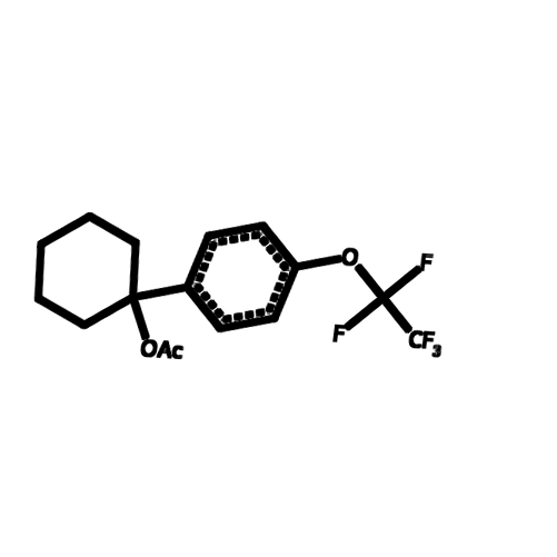 CC(=O)OC1(c2ccc(OC(F)(F)C(F)(F)F)cc2)CCCCC1